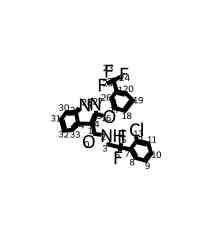 O=C(NCC(F)(F)c1ccccc1Cl)c1c(Oc2cccc(C(F)(F)F)c2)nnc2ccccc12